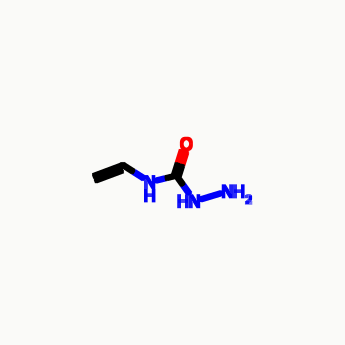 C=CNC(=O)NN